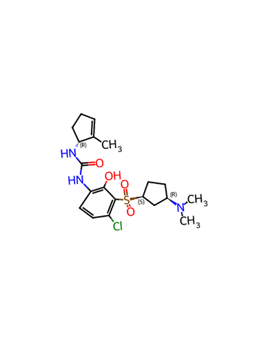 CC1=CCC[C@H]1NC(=O)Nc1ccc(Cl)c(S(=O)(=O)[C@H]2CC[C@@H](N(C)C)C2)c1O